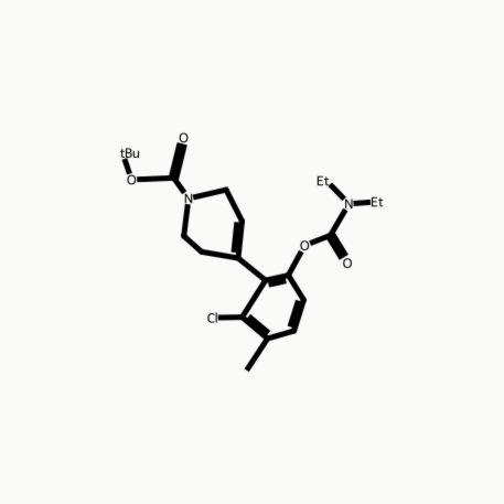 CCN(CC)C(=O)Oc1ccc(C)c(Cl)c1C1=CCN(C(=O)OC(C)(C)C)CC1